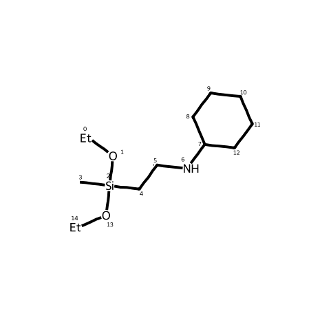 CCO[Si](C)(C[CH]NC1CCCCC1)OCC